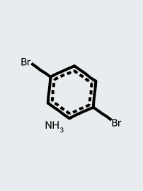 Brc1ccc(Br)cc1.N